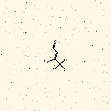 C/C(=C\C=O)C(Cl)(Cl)Cl